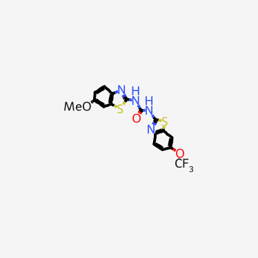 COc1ccc2nc(NC(=O)Nc3nc4ccc(OC(F)(F)F)cc4s3)sc2c1